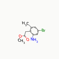 COC(=O)Cc1c(C)cc(Br)cc1N